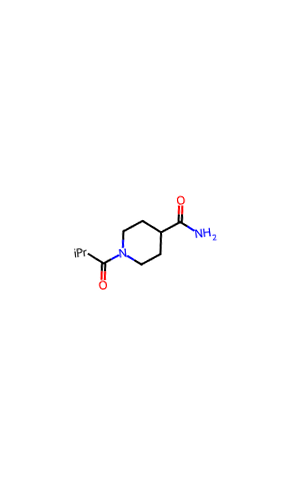 CC(C)C(=O)N1CCC(C(N)=O)CC1